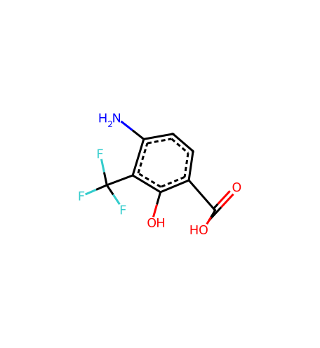 Nc1ccc(C(=O)O)c(O)c1C(F)(F)F